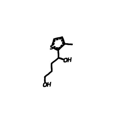 Cc1ccsc1C(O)CCCO